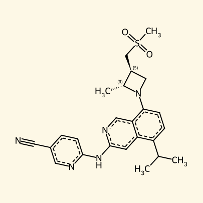 CC(C)c1ccc(N2C[C@H](CS(C)(=O)=O)[C@H]2C)c2cnc(Nc3ccc(C#N)cn3)cc12